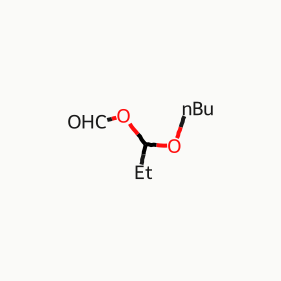 CCCCOC(CC)OC=O